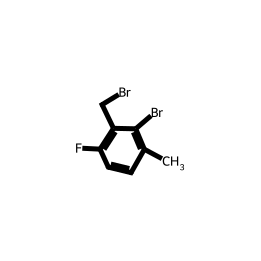 Cc1ccc(F)c(CBr)c1Br